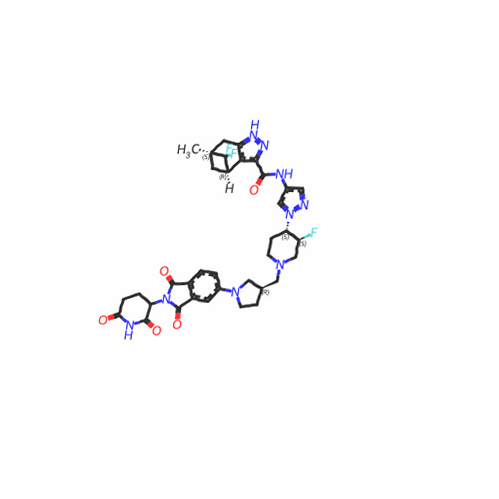 C[C@@]12Cc3[nH]nc(C(=O)Nc4cnn([C@H]5CCN(C[C@H]6CCN(c7ccc8c(c7)C(=O)N(C7CCC(=O)NC7=O)C8=O)C6)C[C@@H]5F)c4)c3[C@@H](C1)C2(F)F